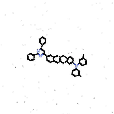 Cc1cccc(N(c2cccc(C)c2)c2ccc3c(c2)Cc2cc4ccc(-c5cc(-c6ccccc6)nc(-c6ccccc6)n5)cc4cc2C3)c1